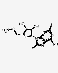 Cc1nc2c(N)nc(I)nc2n1[C@@H]1O[C@H](CON)[C@@H](O)[C@H]1O